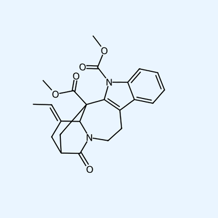 C/C=C1\CC2CC3(C(=O)OC)c4c(c5ccccc5n4C(=O)OC)CCN(C2=O)C13